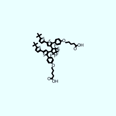 CC(C)(C)c1ccc(-c2cc(C3=C(c4cc(-c5ccc(C(C)(C)C)s5)sc4-c4ccc(OCCCCC(=O)O)cc4)C(F)(F)C(F)(F)C3(F)F)c(-c3ccc(OCCCCC(=O)O)cc3)s2)s1